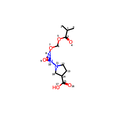 CC(C)C(=O)OCOn1on1N1CCC(C(=O)O)C1